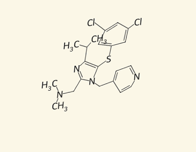 CC(C)c1nc(CN(C)C)n(Cc2ccncc2)c1Sc1cc(Cl)cc(Cl)c1